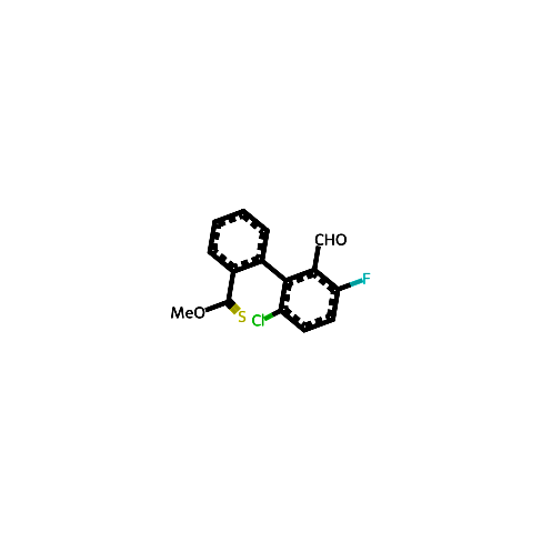 COC(=S)c1ccccc1-c1c(Cl)ccc(F)c1C=O